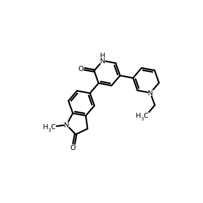 CCN1C=C(c2c[nH]c(=O)c(-c3ccc4c(c3)CC(=O)N4C)c2)C=CC1